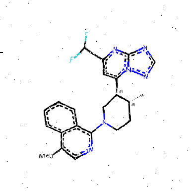 COc1cnc(N2CC[C@@H](C)[C@H](c3cc(C(F)F)nc4ncnn34)C2)c2ccccc12